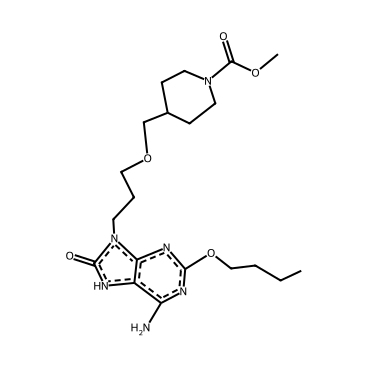 CCCCOc1nc(N)c2[nH]c(=O)n(CCCOCC3CCN(C(=O)OC)CC3)c2n1